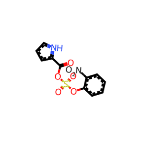 O=C(OS(=O)(=O)Oc1ccccc1[N+](=O)[O-])c1ccc[nH]1